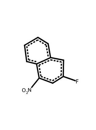 O=[N+]([O-])c1cc(F)cc2ccccc12